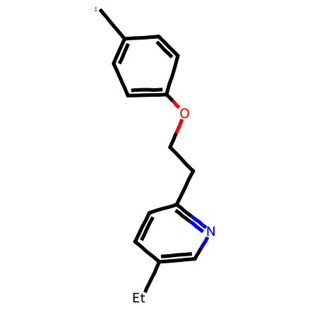 [CH]c1ccc(OCCc2ccc(CC)cn2)cc1